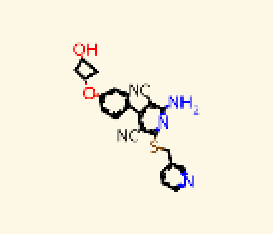 N#Cc1c(N)nc(SCc2cccnc2)c(C#N)c1-c1ccc(O[C@H]2C[C@@H](O)C2)cc1